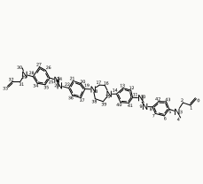 C=CCN(C)c1ccc(/N=N/c2ccc(N3CCN(c4ccc(/N=N/c5ccc(N(C)CC=C)cc5)cc4)CC3)cc2)cc1